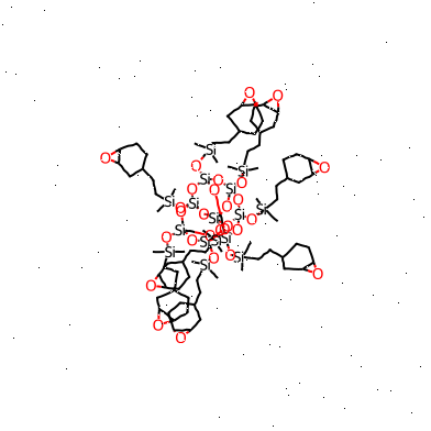 C[Si](C)(CCC1CCC2OC2C1)O[Si]12O[Si]3(O[Si](C)(C)CCC4CCC5OC5C4)O[Si]4(O[Si](C)(C)CCC5CCC6OC6C5)O[Si](O[Si](C)(C)CCC5CCC6OC6C5)(O1)O[Si]1(O[Si](C)(C)CCC5CCC6OC6C5)O[Si](O[Si](C)(C)CCC5CCC6OC6C5)(O2)O[Si](O[Si](C)(C)CCC2CCC5OC5C2)(O3)O[Si](O[Si](C)(C)CCC2CCC3OC3C2)(O4)O1